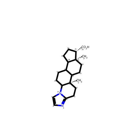 C[C@]12CCc3nccn3C1CCC1C2CC[C@@]2(C)C1CC[C@@H]2C(=O)O